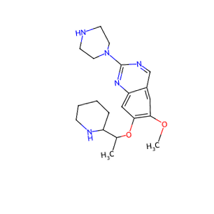 COc1cc2cnc(N3CCNCC3)nc2cc1OC(C)C1CCCCN1